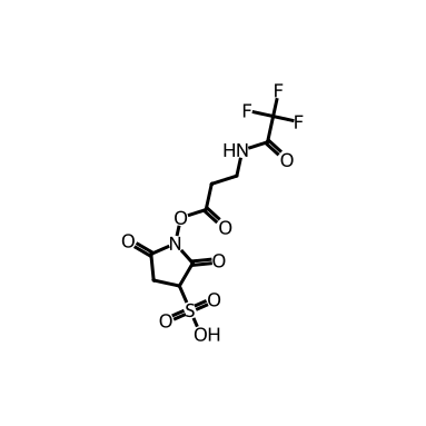 O=C(CCNC(=O)C(F)(F)F)ON1C(=O)CC(S(=O)(=O)O)C1=O